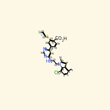 Cc1ccc(Cl)c2c1cc(C)n2CCNc1cc(-c2ccc(C(=O)O)c(S/C=C/F)c2)ncn1